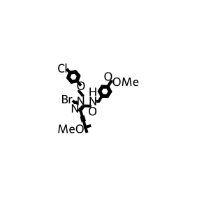 COC(=O)c1ccc(CNC(=O)c2c(C#CC(C)(C)OC)nc(Br)n2CCOc2ccc(Cl)cc2)cc1